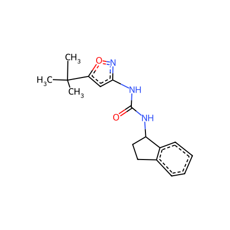 CC(C)(C)c1cc(NC(=O)NC2CCc3ccccc32)no1